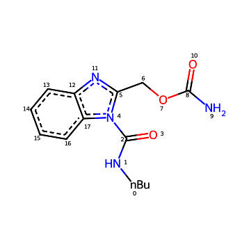 CCCCNC(=O)n1c(COC(N)=O)nc2ccccc21